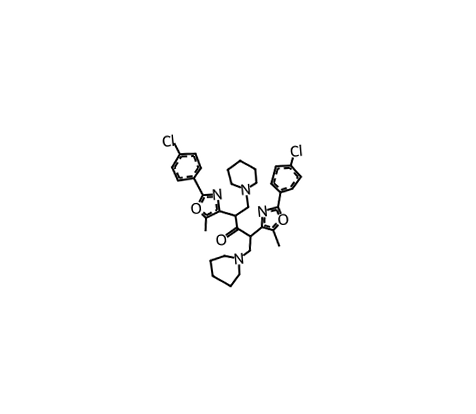 Cc1oc(-c2ccc(Cl)cc2)nc1C(CN1CCCCC1)C(=O)C(CN1CCCCC1)c1nc(-c2ccc(Cl)cc2)oc1C